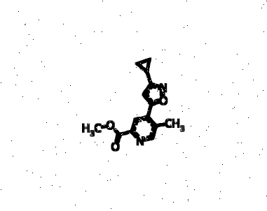 COC(=O)c1cc(-c2cc(C3CC3)no2)c(C)cn1